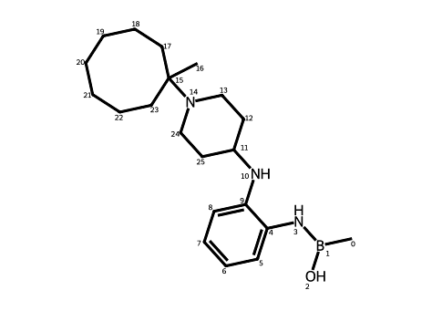 CB(O)Nc1ccccc1NC1CCN(C2(C)CCCCCCC2)CC1